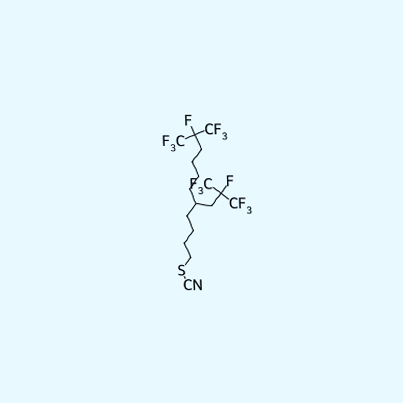 N#CSCCCCC(CCCCC(F)(C(F)(F)F)C(F)(F)F)CC(F)(C(F)(F)F)C(F)(F)F